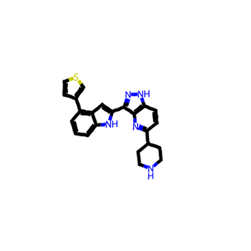 c1cc(-c2ccsc2)c2cc(-c3n[nH]c4ccc(C5CCNCC5)nc34)[nH]c2c1